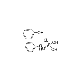 O=P(O)(O)Cl.Oc1ccccc1.Oc1ccccc1